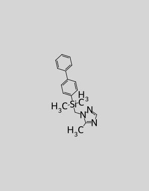 Cc1ncnn1C[Si](C)(C)c1ccc(-c2ccccc2)cc1